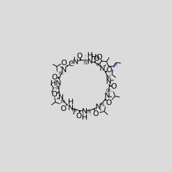 C/C=C/CC(C)C(O)[C@@H]1C(=O)N[C@@H](C)C(=O)N(C)CC(=O)N(C)[C@@H](CC(C)C)C(=O)N[C@@H](C(C)C)C(=O)N(C)[C@@H](CC(C)C)C(=O)N[C@H](C)C(=O)N[C@@H](C)C(=O)N(C)[C@@H](CC(C)C)C(=O)N(C)[C@@H](CC(C)C)C(=O)N(C)[C@@H](C(C)C)C(=O)N1C